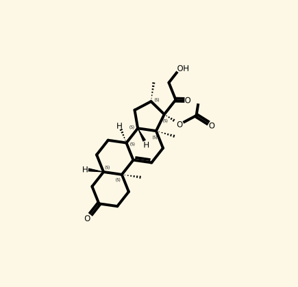 CC(=O)O[C@@]1(C(=O)CO)[C@@H](C)C[C@H]2[C@@H]3CC[C@H]4CC(=O)CC[C@]4(C)C3=CC[C@@]21C